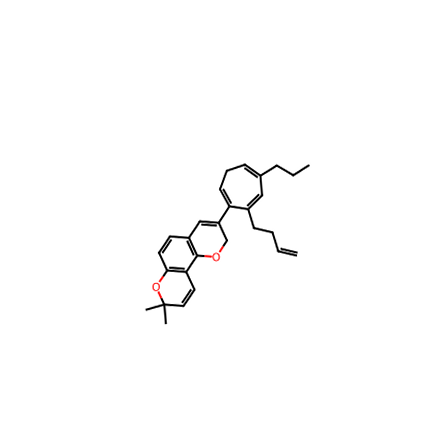 C=CCCC1=CC(CCC)=CCC=C1C1=Cc2ccc3c(c2OC1)C=CC(C)(C)O3